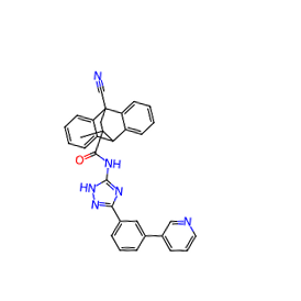 CC1(C(=O)Nc2nc(-c3cccc(-c4cccnc4)c3)n[nH]2)CC2(C#N)c3ccccc3C1c1ccccc12